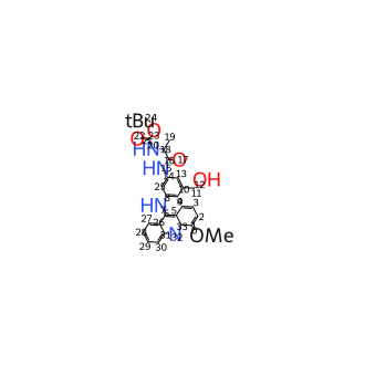 COc1cccc2c(Nc3cc(CO)cc(NC(=O)C(C)NC(=O)OC(C)(C)C)c3)c3ccccc3nc12